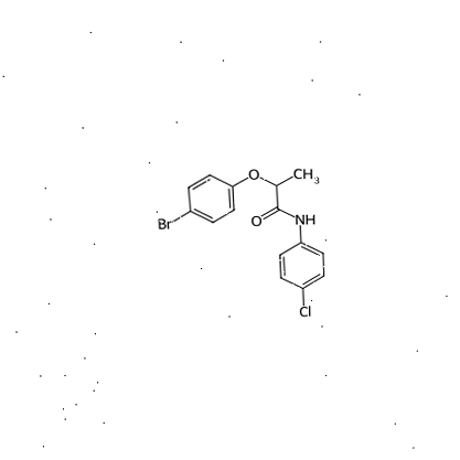 CC(Oc1ccc(Br)cc1)C(=O)Nc1ccc(Cl)cc1